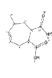 CC1C=CCC(C(=O)O)C(C(N)=O)C1